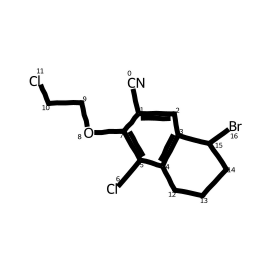 N#Cc1cc2c(c(Cl)c1OCCCl)CCCC2Br